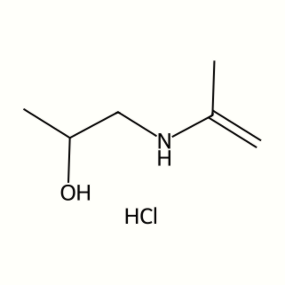 C=C(C)NCC(C)O.Cl